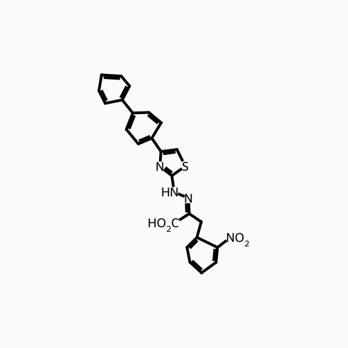 O=C(O)/C(Cc1ccccc1[N+](=O)[O-])=N\Nc1nc(-c2ccc(-c3ccccc3)cc2)cs1